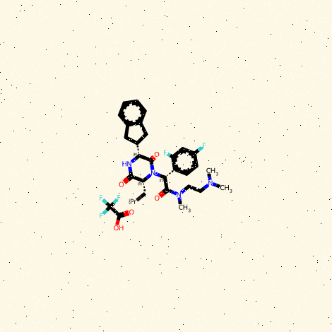 CC(C)C[C@@H]1C(=O)N[C@H](C2Cc3ccccc3C2)C(=O)N1[C@@H](C(=O)N(C)CCN(C)C)c1ccc(F)cc1F.O=C(O)C(F)(F)F